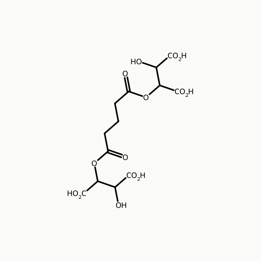 O=C(CCCC(=O)OC(C(=O)O)C(O)C(=O)O)OC(C(=O)O)C(O)C(=O)O